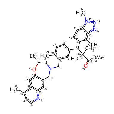 CC[C@@H]1CN(Cc2cc(C(c3ccc4c(nnn4C)c3C)C(C)(C)C(=O)OC)ccc2C)Cc2cc3nccc(C)c3cc2O1